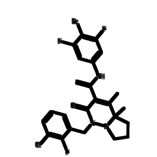 C=C(Nc1cc(F)c(Br)c(F)c1)C1=C(C)C2(C)CCCN2N(Cc2cccc(Cl)c2F)C1=O